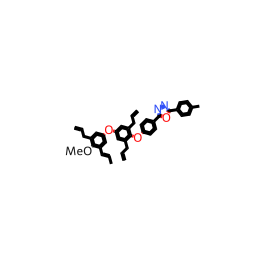 C=CCc1cc(Oc2cc(CC=C)c(Oc3ccc(-c4nnc(-c5ccc(C)cc5)o4)cc3)c(CC=C)c2)cc(/C=C/C)c1OC